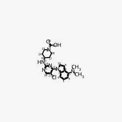 CN(C)c1cccc2c1ccn2-c1nc(NC2CCN(C(=O)O)CC2)ncc1Cl